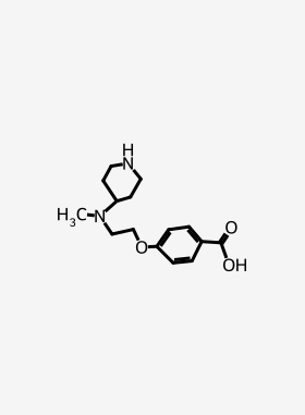 CN(CCOc1ccc(C(=O)O)cc1)C1CCNCC1